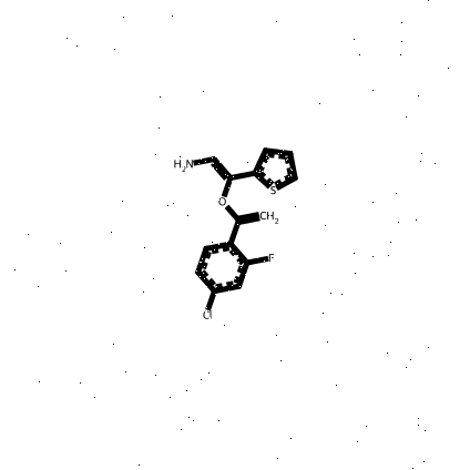 C=C(O/C(=C\N)c1cccs1)c1ccc(Cl)cc1F